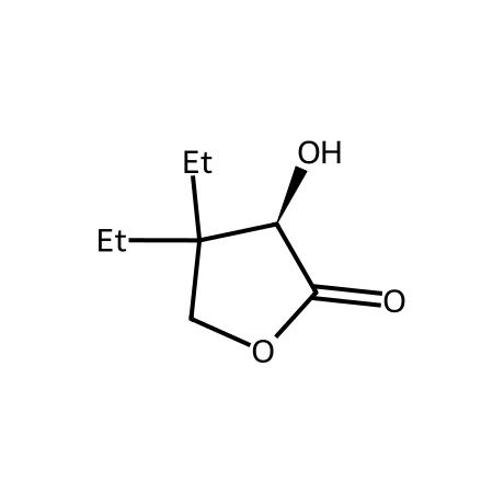 CCC1(CC)COC(=O)[C@@H]1O